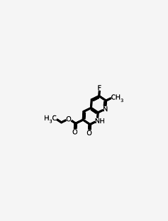 CCOC(=O)c1cc2cc(F)c(C)nc2[nH]c1=O